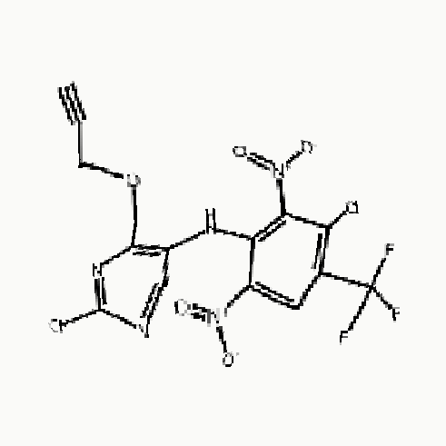 C#CCOc1nc(Cl)ncc1Nc1c([N+](=O)[O-])cc(C(F)(F)F)c(Cl)c1[N+](=O)[O-]